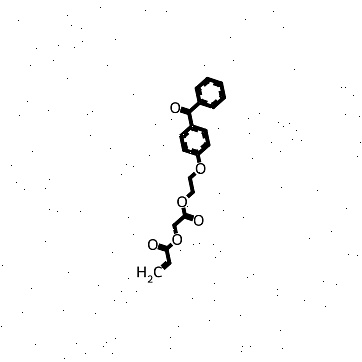 C=CC(=O)OCC(=O)OCCOc1ccc(C(=O)c2ccccc2)cc1